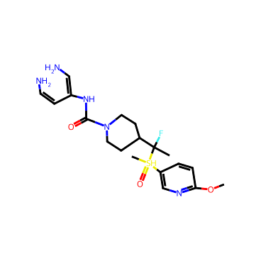 COc1ccc([SH](C)(=O)C(C)(F)C2CCN(C(=O)NC(/C=C\N)=C/N)CC2)cn1